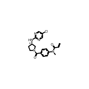 C=CC(=O)N(C)c1ccc(C(=O)N2CC[C@@H](Nc3ncc(Cl)cn3)C2)cc1